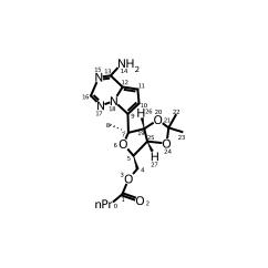 CCCC(=O)OC[C@H]1O[C@@](C)(c2ccc3c(N)ncnn23)[C@@H]2OC(C)(C)O[C@@H]21